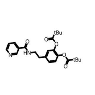 CC(C)(C)C(=O)Oc1ccc(CCNC(=O)c2cccnc2)cc1OC(=O)C(C)(C)C